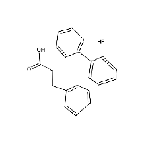 F.O=C(O)CCc1ccccc1.c1ccc(-c2ccccc2)cc1